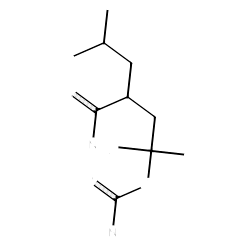 CC(C)CC(CC(C)(C)OC(N)=O)C(N)=S